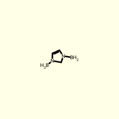 BN1C=CN(B)C1